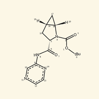 CC(C)(C)OC(=O)N1[C@H](C(=O)Nc2cnccn2)C[C@@H]2C[C@@H]21